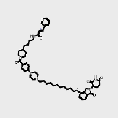 O=C(/C=C/c1cccnc1)NCCCCC1CCN(C(=O)c2ccc(N3CCN(CCCCCCCCCCCSc4cccc5c4CN(C4CCC(=O)NC4=O)C5=O)CC3)cc2)CC1